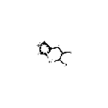 CCC(O)C(C)Cc1c[nH]nn1